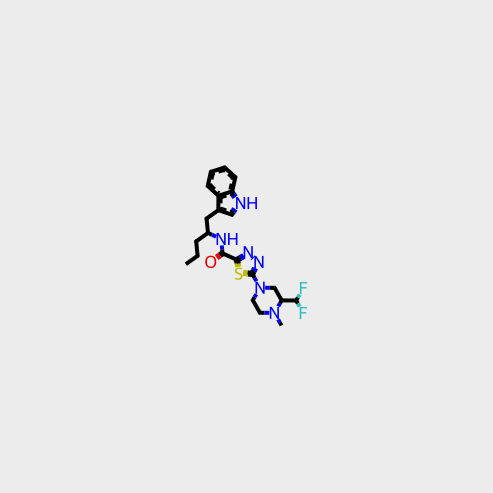 CCCC(Cc1c[nH]c2ccccc12)NC(=O)c1nnc(N2CCN(C)C(C(F)F)C2)s1